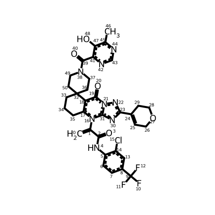 C=C(C(=O)Nc1ccc(C(F)(F)F)cc1Cl)n1c2c(c(=O)n3nc(C4=CCOCC4)nc13)C1(CCC2)CCN(C(=O)c2ncnc(C)c2O)CC1